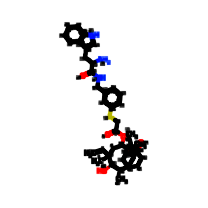 C=C[C@]1(C)C[C@@H](OC(=O)CSc2cccc(CNC(=O)[C@H](N)Cc3c[nH]c4ccccc34)c2)[C@]2(C)C(C)CC34CC(CCC3=O)(C42)[C@@H](C)[C@@H]1O